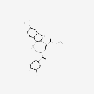 CCOC(=O)C1=CN(C(=O)c2ccc(F)c(F)c2)CC(C)(C)c2c1[nH]c1cc(NC)ccc21